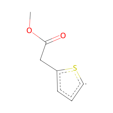 COC(=O)Cc1cc[c]s1